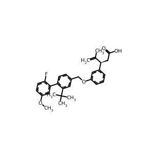 C=C(C)[C@@H](CC(=O)O)c1cccc(OCc2ccc(-c3cc(OC)ccc3F)c(C(C)(C)C)c2)c1